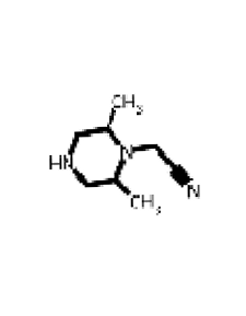 CC1CNC[C@@H](C)N1CC#N